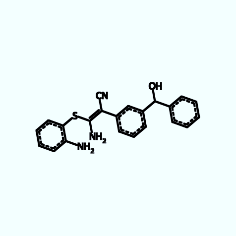 N#C/C(=C(/N)Sc1ccccc1N)c1cccc(C(O)c2ccccc2)c1